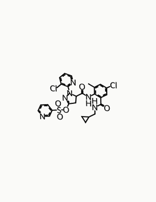 Cc1cc(Cl)cc(C(=O)NCC2CC2)c1NC(=O)C1CC(OS(=O)(=O)c2cccnc2)=NN1c1ncccc1Cl